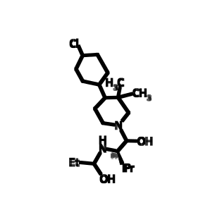 CCC(O)N[C@H](C(C)C)C(O)N1CCC(C2CCC(Cl)CC2)C(C)(C)C1